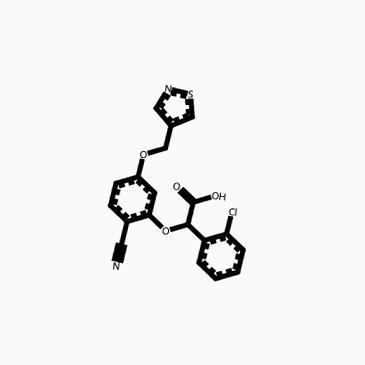 N#Cc1ccc(OCc2cnsc2)cc1OC(C(=O)O)c1ccccc1Cl